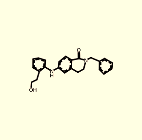 O=C1c2ccc(Nc3ccccc3CCO)cc2CCN1Cc1ccccc1